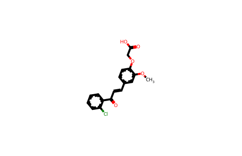 COc1cc(/C=C/C(=O)c2ccccc2Cl)ccc1OCC(=O)O